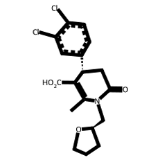 CC1=C(C(=O)O)[C@H](c2ccc(Cl)c(Cl)c2)CC(=O)N1C[C@H]1CCCO1